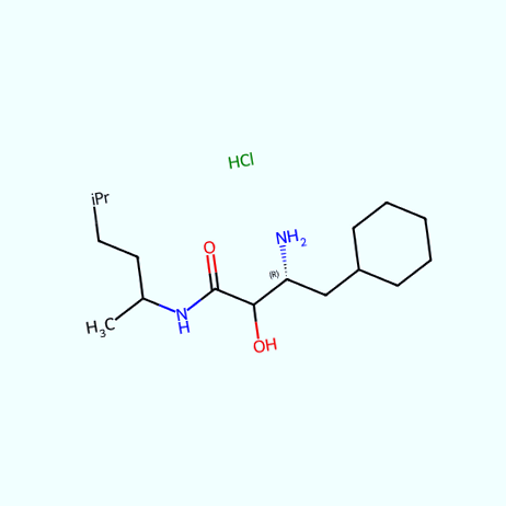 CC(C)CCC(C)NC(=O)C(O)[C@H](N)CC1CCCCC1.Cl